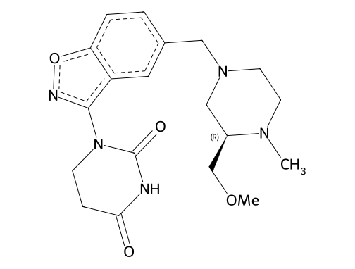 COC[C@H]1CN(Cc2ccc3onc(N4CCC(=O)NC4=O)c3c2)CCN1C